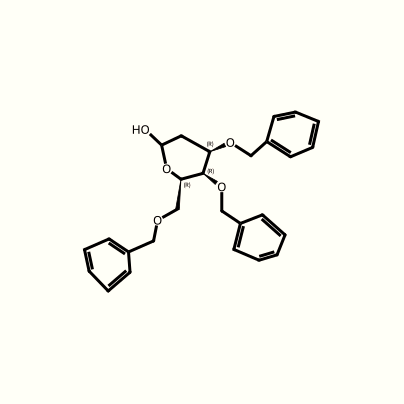 OC1C[C@@H](OCc2ccccc2)[C@@H](OCc2ccccc2)[C@@H](COCc2ccccc2)O1